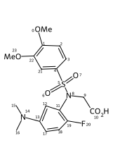 COc1ccc(S(=O)(=O)N(CC(=O)O)c2cc(N(C)C)ccc2F)cc1OC